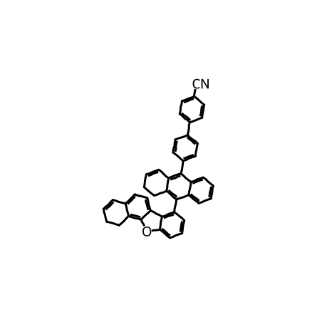 N#Cc1ccc(-c2ccc(-c3c4c(c(-c5cccc6oc7c8c(ccc7c56)C=CCC8)c5ccccc35)CCC=C4)cc2)cc1